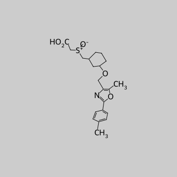 Cc1ccc(-c2nc(COC3CCCC(C[S+]([O-])CC(=O)O)C3)c(C)o2)cc1